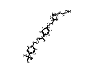 C/C(=N\OCc1ccc(C(C)(F)F)cc1)c1ccc(OCc2nnn(CCO)n2)nc1